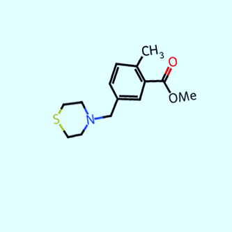 COC(=O)c1cc(CN2CCSCC2)ccc1C